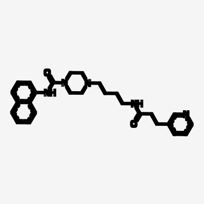 O=C(CCc1cccnc1)NCCCCN1CCN(C(=O)Nc2cccc3ccccc23)CC1